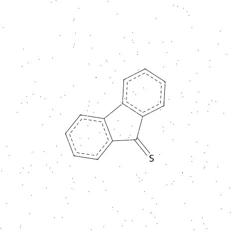 S=C1c2ccccc2-c2ccccc21